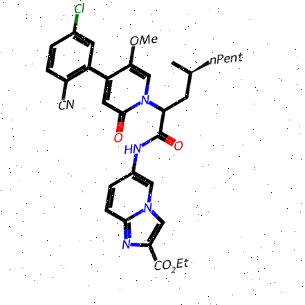 CCCCC[C@H](C)CC(C(=O)Nc1ccc2nc(C(=O)OCC)cn2c1)n1cc(OC)c(-c2cc(Cl)ccc2C#N)cc1=O